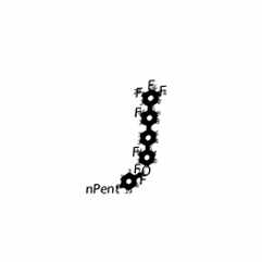 CCCCCc1ccc(C(F)(F)Oc2ccc(-c3ccc(-c4ccc(-c5cc(F)c(F)c(F)c5)c(F)c4)cc3)c(F)c2)cc1